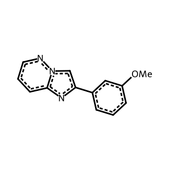 COc1cccc(-c2cn3ncccc3n2)c1